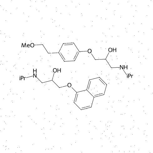 CC(C)NCC(O)COc1cccc2ccccc12.COCCc1ccc(OCC(O)CNC(C)C)cc1